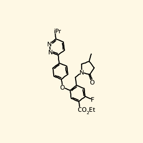 CCOC(=O)c1cc(Oc2ccc(-c3ccc(C(C)C)nn3)cc2)c(CN2CC(C)CC2=O)cc1F